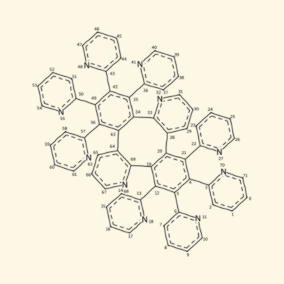 c1ccc(-c2c(-c3ccccn3)c(-c3ccccn3)c3c(c2-c2ccccn2)-c2cccnc2-c2c(-c4ccccn4)c(-c4ccccn4)c(-c4ccccn4)c(-c4ccccn4)c2-c2cccnc2-3)nc1